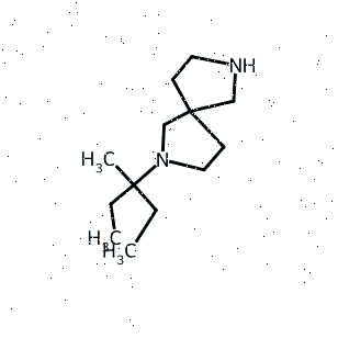 CCC(C)(CC)N1CCC2(CCNC2)C1